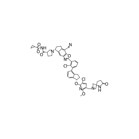 COc1nc(O[C@H]2CCc3c(-c4cccc(-c5nc6cc7c(c(C#N)c6o5)CC[C@H]7N5CC[C@@H](C(=O)NS(=O)(=O)C6CC6)C5)c4Cl)cccc32)c(Cl)cc1CN1CC2(CCC(=O)N2)C1